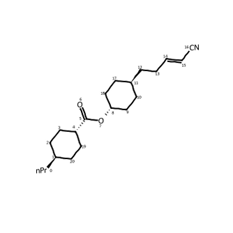 CCC[C@H]1CC[C@H](C(=O)O[C@H]2CC[C@H](CCC=CC#N)CC2)CC1